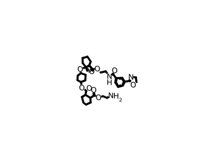 NCCOC(=O)C1CCCCC1C(=O)OC1CCC(OC2(C=O)CCCCC2C(=O)OCCNC(=O)c2cccc(C3=NCCO3)c2)CC1